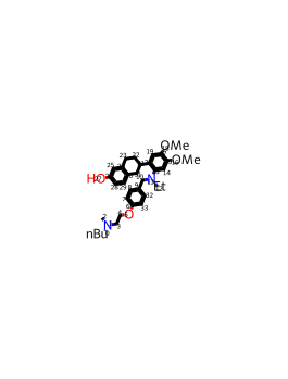 CCCCN(C)CCOc1ccc(CN(CC)c2cc(OC)c(OC)cc2C2CCc3cc(O)ccc3C2)cc1